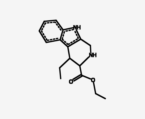 CCOC(=O)C1NCc2[nH]c3ccccc3c2C1CC